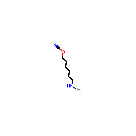 CNCCCCCCOC#N